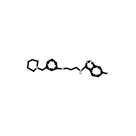 Fc1ccc2c(NCCCOc3cccc(CN4CCCCC4)c3)nsc2c1